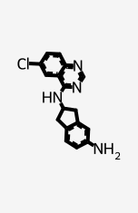 Nc1ccc2c(c1)CC(Nc1ncnc3ccc(Cl)cc13)C2